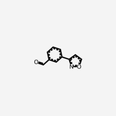 O=Cc1cccc(-c2ccon2)c1